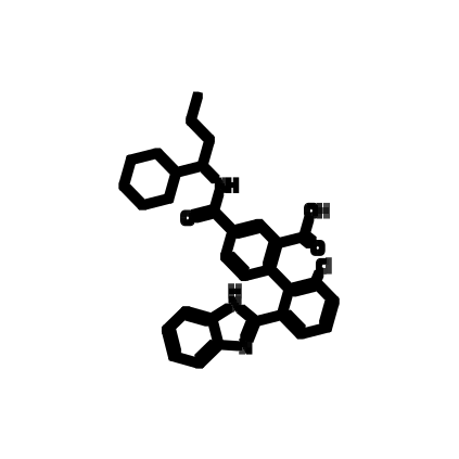 CCCC(NC(=O)c1ccc(-c2c(Cl)cccc2-c2nc3ccccc3[nH]2)c(C(=O)O)c1)C1CCCCC1